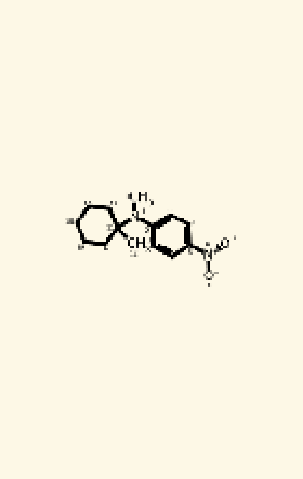 CN(c1ccc([N+](=O)[O-])cc1)C1(C)CCCCC1